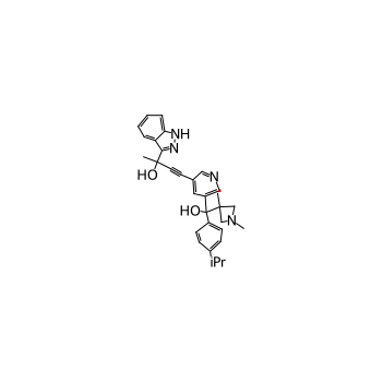 CC(C)c1ccc(C(O)(c2cncc(C#CC(C)(O)c3n[nH]c4ccccc34)c2)C2(C)CN(C)C2)cc1